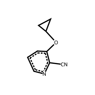 N#Cc1ncccc1OC1CC1